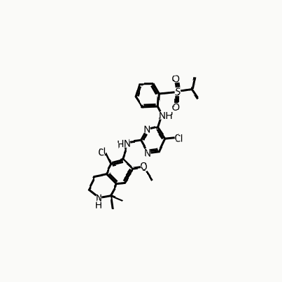 COc1cc2c(c(Cl)c1Nc1ncc(Cl)c(Nc3ccccc3S(=O)(=O)C(C)C)n1)CCNC2(C)C